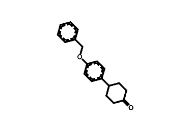 O=C1CCC(c2ccc(OCc3ccccc3)cc2)CC1